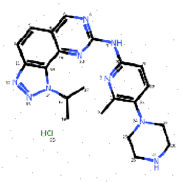 Cc1nc(Nc2ncc3ccc4nnn(C(C)C)c4c3n2)ccc1N1CCNCC1.Cl